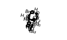 Cc1cc2cc(C)c1C(F)(F)COC(=O)Nc1ccc(Br)c(c1)CN(C)C(=O)C2Nc1ccc2c(N(C(=O)OC(C)(C)C)C(=O)OC(C)(C)C)nccc2c1